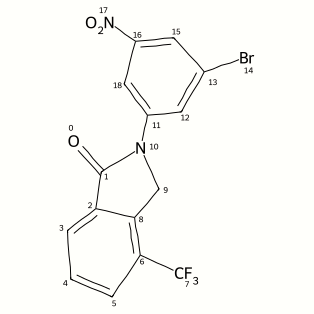 O=C1c2cccc(C(F)(F)F)c2CN1c1cc(Br)cc([N+](=O)[O-])c1